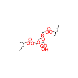 CCCCC(CC)COC(=O)OCC(C)OCC(COC(C)COC(=O)OCC(CC)CCCC)OC(C)COC(=O)O